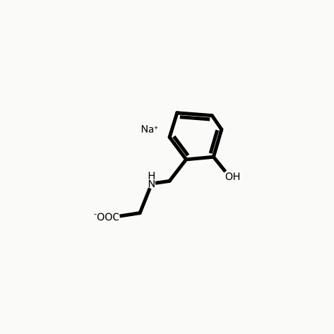 O=C([O-])CNCc1ccccc1O.[Na+]